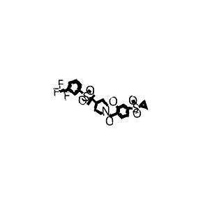 COc1cc(S(=O)(=O)C2CC2)ccc1C(=O)N1CCC(C(C)(C)S(=O)(=O)c2cccc(C(F)(F)F)c2)CC1